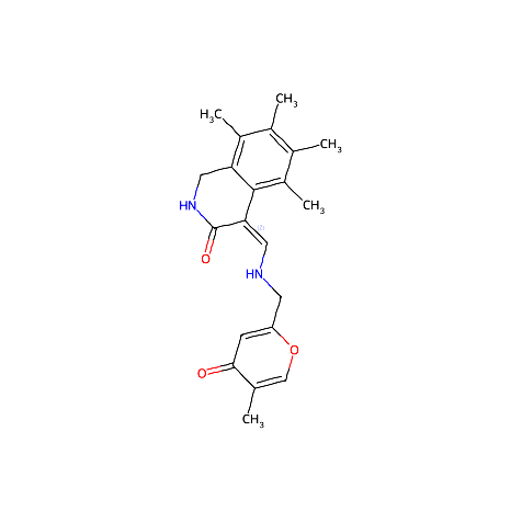 Cc1c(C)c(C)c2c(c1C)CNC(=O)/C2=C\NCc1cc(=O)c(C)co1